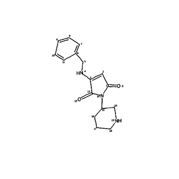 O=C1C=C(NCc2ccccc2)C(=O)N1C1CCCNC1